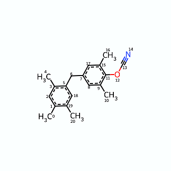 Cc1cc(C)c(Cc2cc(C)c(OC#N)c(C)c2)cc1C